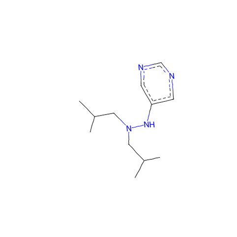 CC(C)CN(CC(C)C)Nc1cncnc1